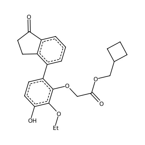 CCOc1c(O)ccc(-c2cccc3c2CCC3=O)c1OCC(=O)OCC1CCC1